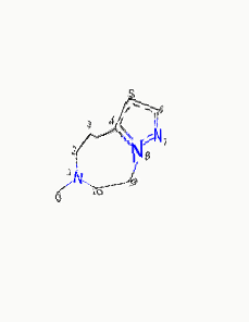 CN1CCc2ccnn2CC1